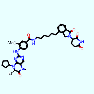 CC[C@@H]1C(=O)N(C)c2cnc(Nc3ccc(C(=O)NCCCCCCc4cccc5c4CN(C4CCC(=O)NC4=O)C5=O)cc3OC)nc2N1C1CCCC1